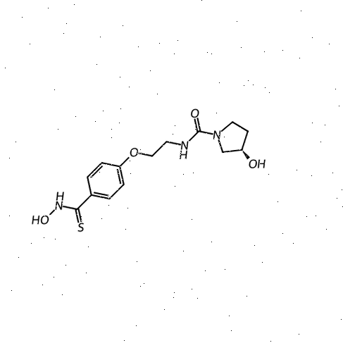 O=C(NCCOc1ccc(C(=S)NO)cc1)N1CC[C@@H](O)C1